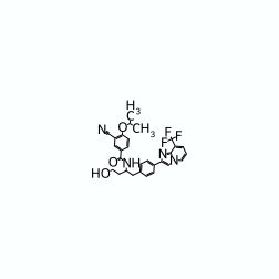 CC(C)Oc1ccc(C(=O)NC(CCO)Cc2ccc(-c3cn4cccc(C(F)(F)F)c4n3)cc2)cc1C#N